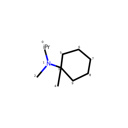 CC(C)N(C)C1(C)CCCCC1